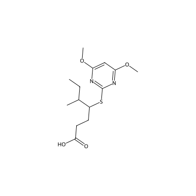 CCC(C)C(CCC(=O)O)Sc1nc(OC)cc(OC)n1